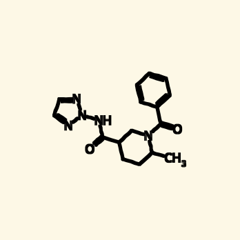 CC1CCC(C(=O)Nn2nccn2)CN1C(=O)c1ccccc1